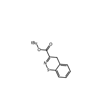 CC(C)(C)OC(=O)C1=NSc2ccccc2C1